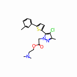 Cc1cccc(-c2ccc(-c3c(Cl)c(C)nn3CC(=O)OCCN(C)C)s2)c1